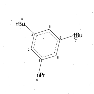 C[CH]Cc1cc(C(C)(C)C)cc(C(C)(C)C)c1